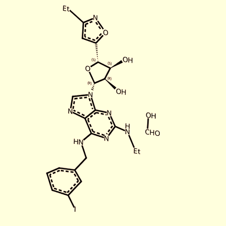 CCNc1nc(NCc2cccc(I)c2)c2ncn([C@@H]3O[C@H](c4cc(CC)no4)[C@@H](O)[C@H]3O)c2n1.O=CO